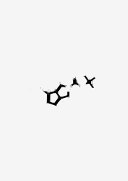 CC(C)(C)OC(=O)N1C=C2C(N)=CC=C2C1